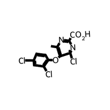 Cc1nc(C(=O)O)nc(Cl)c1Oc1ccc(Cl)cc1Cl